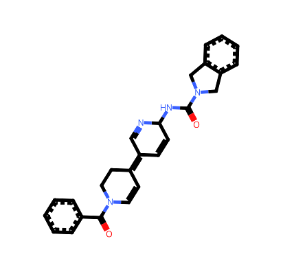 O=C(c1ccccc1)N1C=CC(=C2C=CC(NC(=O)N3Cc4ccccc4C3)N=C2)CC1